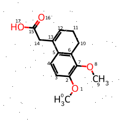 COc1ccc2c(c1OC)CCC=C2CC(=O)O